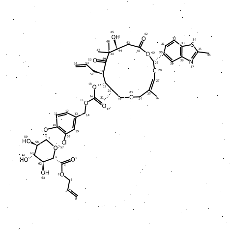 C=CCOC(=O)[C@H]1O[C@@H](Oc2ccc(COC(=O)O[C@H]3[C@@H](C)CCC/C(C)=C\C[C@@H](c4ccc5sc(C)nc5c4)OC(=O)C[C@H](O)C(C)(C)C(=O)[C@@H]3CC=C)cc2Cl)[C@H](O)[C@@H](O)[C@@H]1O